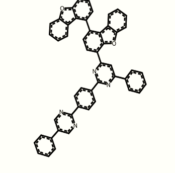 c1ccc(-c2cnc(-c3ccc(-c4nc(-c5ccccc5)cc(-c5ccc(-c6cccc7oc8ccccc8c67)c6c5oc5ccccc56)n4)cc3)nc2)cc1